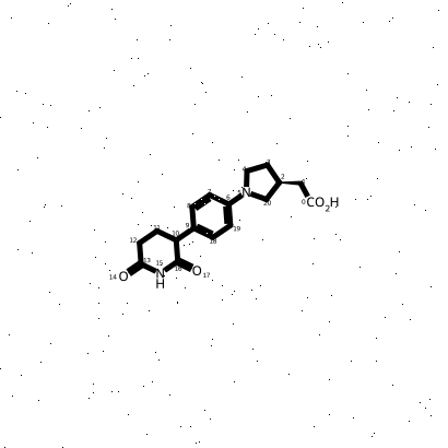 O=C(O)C[C@@H]1CCN(c2ccc(C3CCC(=O)NC3=O)cc2)C1